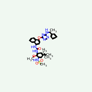 COc1c(NC(=O)Nc2ccc(Oc3ncnc(N[C@H](C)c4ccccc4)n3)c3ccccc23)cc(C(C)(C)C)cc1NS(C)(=O)=O